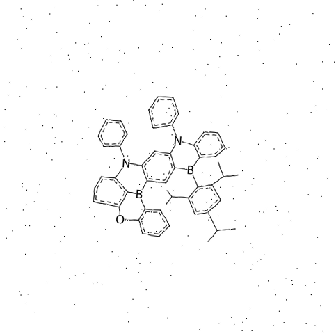 CC(C)c1cc(C(C)C)c(B2c3ccccc3N(c3ccccc3)c3cc4c(cc32)B2c3ccccc3Oc3cccc(c32)N4c2ccccc2)c(C(C)C)c1